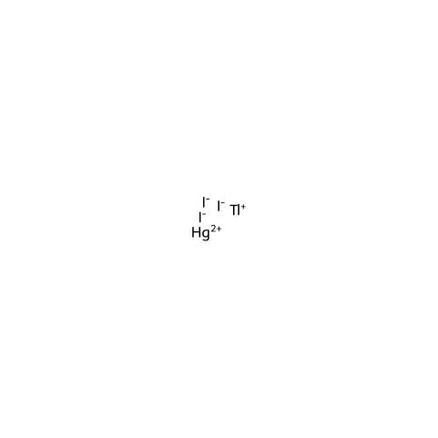 [Hg+2].[I-].[I-].[I-].[Tl+]